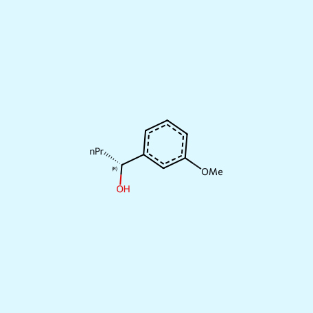 CCC[C@@H](O)c1cccc(OC)c1